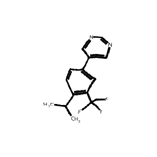 CC(C)c1ccc(-c2cncnc2)cc1C(F)(F)F